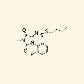 CCCCSS/N=C1/C(=O)N(C)C(=O)N1c1ccccc1F